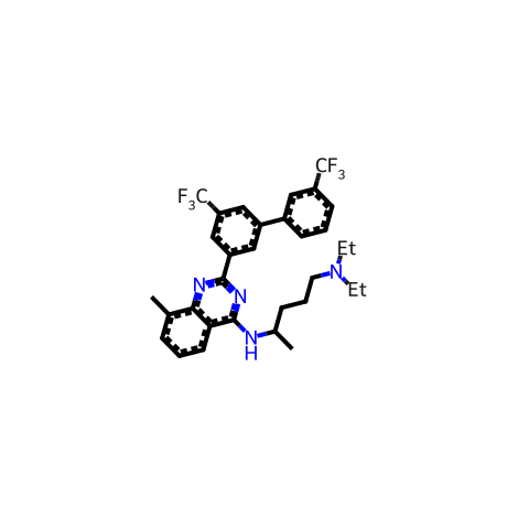 CCN(CC)CCCC(C)Nc1nc(-c2cc(-c3cccc(C(F)(F)F)c3)cc(C(F)(F)F)c2)nc2c(C)cccc12